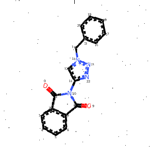 O=C1c2ccccc2C(=O)N1c1cn(Cc2ccccc2)nn1